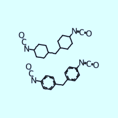 O=C=NC1CCC(CC2CCC(N=C=O)CC2)CC1.O=C=Nc1ccc(Cc2ccc(N=C=O)cc2)cc1